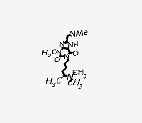 CNCc1nc2c([nH]1)c(=O)n(CCCC[C@@H](C)N(C)C)c(=O)n2C